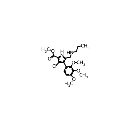 CCCNCc1[nH]c(C(=O)OC)c(Cl)c1-c1ccc(OC)c(OC)c1OC